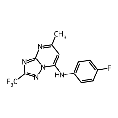 Cc1cc(Nc2ccc(F)cc2)n2nc(C(F)(F)F)nc2n1